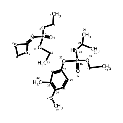 CCOP(=O)(N=C1SCS1)OCC.CCOP(=O)(NC(C)C)Oc1ccc(SC)c(C)c1